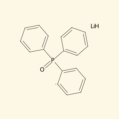 O=P(c1[c]cccc1)(c1ccccc1)c1ccccc1.[LiH]